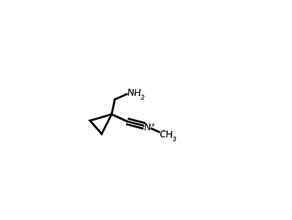 C[N+]#CC1(CN)CC1